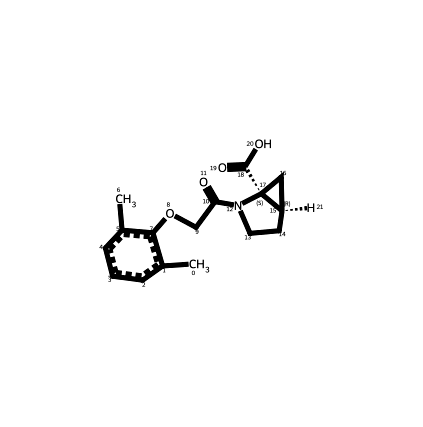 Cc1c[c]cc(C)c1OCC(=O)N1CC[C@@H]2C[C@@]21C(=O)O